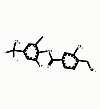 CCc1cc(C(F)(C(F)(F)F)C(F)(F)F)cc(C)c1NC(=O)c1ccc(CN)c(C(F)(F)F)c1